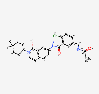 CC1(C)CCC(n2ccc3ccc(NC(=O)c4cc(CNC(=O)C(C)(C)C)ccc4Cl)cc3c2=O)CC1